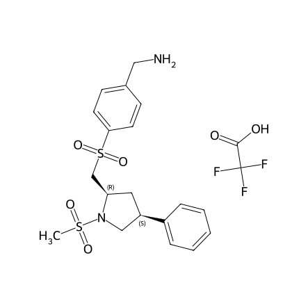 CS(=O)(=O)N1C[C@H](c2ccccc2)C[C@@H]1CS(=O)(=O)c1ccc(CN)cc1.O=C(O)C(F)(F)F